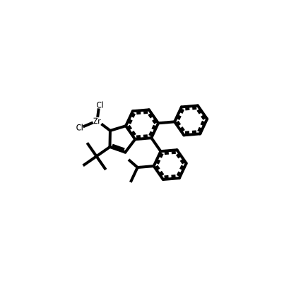 CC(C)c1ccccc1-c1c(-c2ccccc2)ccc2c1C=C(C(C)(C)C)[CH]2[Zr]([Cl])[Cl]